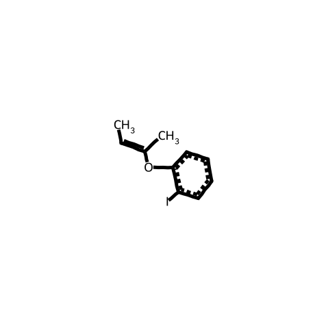 C/C=C(\C)Oc1ccccc1I